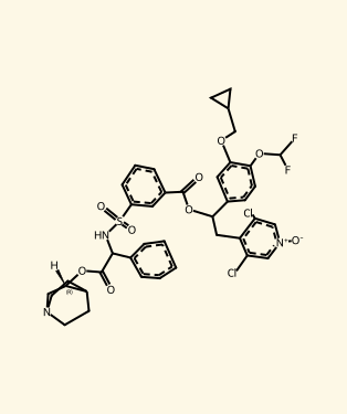 O=C(OC(Cc1c(Cl)c[n+]([O-])cc1Cl)c1ccc(OC(F)F)c(OCC2CC2)c1)c1cccc(S(=O)(=O)NC(C(=O)O[C@H]2CN3CCC2CC3)c2ccccc2)c1